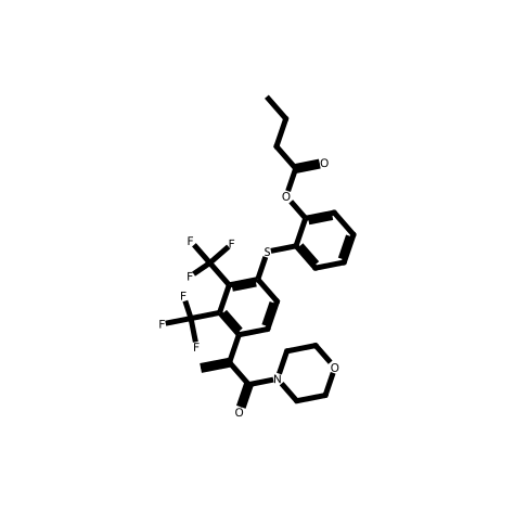 C=C(C(=O)N1CCOCC1)c1ccc(Sc2ccccc2OC(=O)CCC)c(C(F)(F)F)c1C(F)(F)F